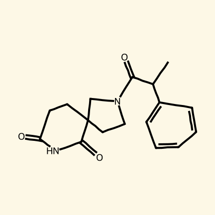 CC(C(=O)N1CCC2(CCC(=O)NC2=O)C1)c1ccccc1